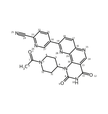 CC(=O)N1CCC(n2c(=O)[nH]c(=O)c3cnc4ccc(-c5ccc(C#N)nc5)nc4c32)CC1